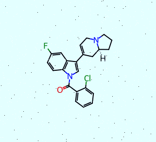 O=C(c1ccccc1Cl)n1cc(C2=CCN3CCC[C@H]3C2)c2cc(F)ccc21